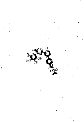 CS[C@H]1O[C@H](C(NC(=O)[C@@H]2C[C@H](c3ccc([C@@H](C)NS(=O)(=O)C(C)C)cc3)CCN2)[C@H](C)Cl)[C@H](O)[C@H](O)[C@H]1O